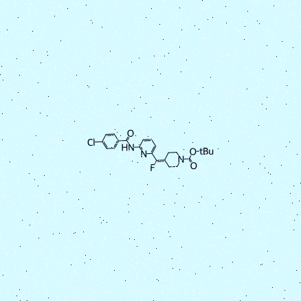 CC(C)(C)OC(=O)N1CCC(=C(F)c2cccc(NC(=O)c3ccc(Cl)cc3)n2)CC1